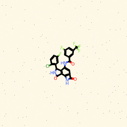 O=C(Nc1cc2c(c3c1C(c1cc(F)ccc1Cl)NC3=O)NC2=O)c1cc(F)cc(C(F)(F)F)c1